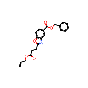 C=CCOC(=O)CCc1nc2cc(C(=O)OCc3ccccc3)ccc2o1